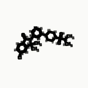 CC(C)S(=O)(=O)N1CCC(c2cncc(N3C(=O)c4ccc(Cl)cc4C3(C)C)c2)CC1